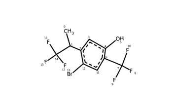 CC(c1cc(O)c(C(F)(F)F)cc1Br)C(F)(F)F